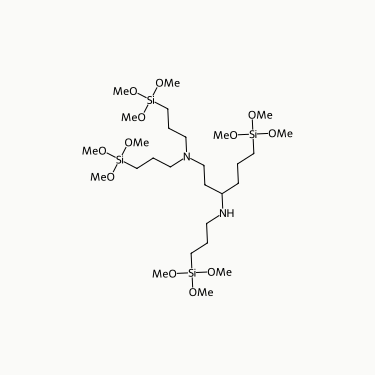 CO[Si](CCCNC(CCC[Si](OC)(OC)OC)CCN(CCC[Si](OC)(OC)OC)CCC[Si](OC)(OC)OC)(OC)OC